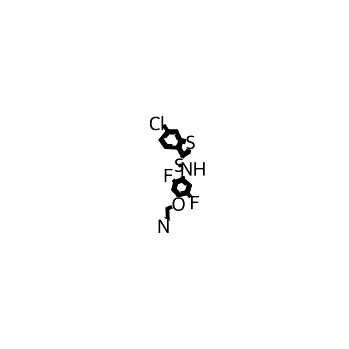 N#CCOc1cc(F)c(NSc2csc3cc(Cl)ccc23)cc1F